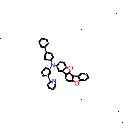 c1ccc(-c2ccc(N(c3cccc(-c4ccccn4)c3)c3ccc4oc5c(ccc6oc7ccccc7c65)c4c3)cc2)cc1